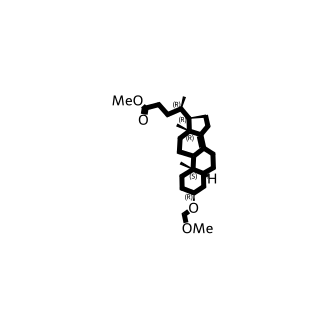 COCO[C@@H]1CC[C@]2(C)C3CC[C@@]4(C)C(=C3CC[C@@H]2C1)CC[C@@H]4[C@H](C)CCC(=O)OC